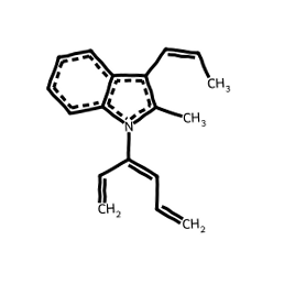 C=C/C=C(\C=C)n1c(C)c(/C=C\C)c2ccccc21